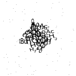 CC(=O)O[C@H]1[C@H]2[C@H]([C@@H]3[C@@H](O)[C@@H]4[C@H](C(C)[C@H]5O[C@]56OC(=O)[C@@](C)(O)[C@]46C)[C@@]3(C)[C@H]1OC(C)=O)[C@@H](OC(=O)C(C)(C)C)C(=O)[C@H]1C[C@@H]3O[C@@H]3[C@H](OC(C)=O)[C@]21C